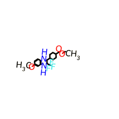 CCOC(=O)C1CCC(C2Nc3ccc(OC)cc3NC2C(F)(F)F)CC1